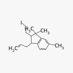 C=CCC1c2ccc(C)cc2C(C)(C)C1CCI